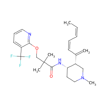 C=C(/C=C\C=C/C)[C@@H]1CN(C)CC[C@@H]1NC(=O)C(C)(C)COc1ncccc1C(F)(F)F